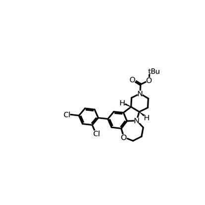 CC(C)(C)OC(=O)N1CC[C@H]2[C@@H](C1)c1cc(-c3ccc(Cl)cc3Cl)cc3c1N2CCCO3